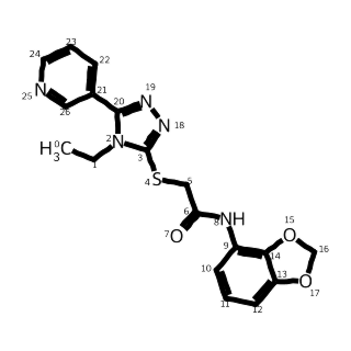 CCn1c(SCC(=O)Nc2cccc3c2OCO3)nnc1-c1cccnc1